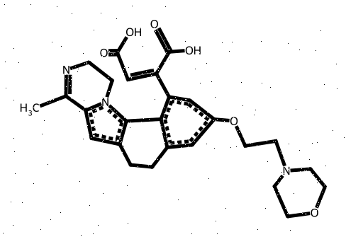 CC1=NCCn2c1cc1c2-c2c(cc(OCCN3CCOCC3)cc2C(=CC(=O)O)C(=O)O)CC1